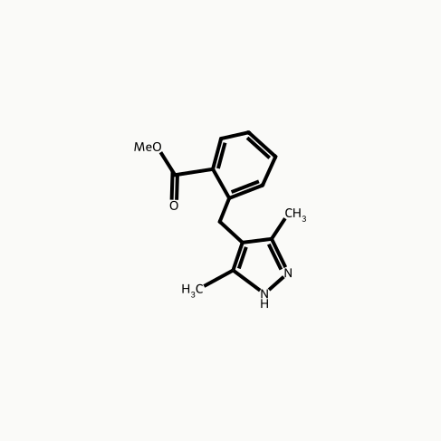 COC(=O)c1ccccc1Cc1c(C)n[nH]c1C